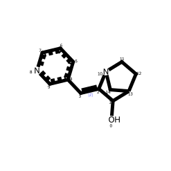 OC1/C(=C/c2cccnc2)N2CCC1C2